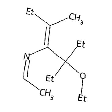 C/C=N\C(=C(\C)CC)C(CC)(CC)OCC